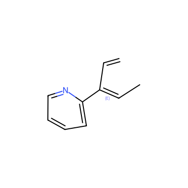 C=C/C(=C\C)c1ccccn1